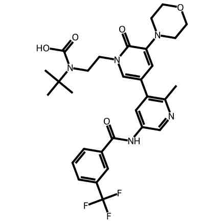 Cc1ncc(NC(=O)c2cccc(C(F)(F)F)c2)cc1-c1cc(N2CCOCC2)c(=O)n(CCN(C(=O)O)C(C)(C)C)c1